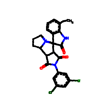 Cc1cccc2c1NC(=O)C21C2C(=O)N(c3cc(Cl)cc(Cl)c3)C(=O)C2C2CCCN21